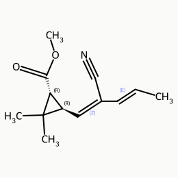 C/C=C/C(C#N)=C/[C@@H]1[C@@H](C(=O)OC)C1(C)C